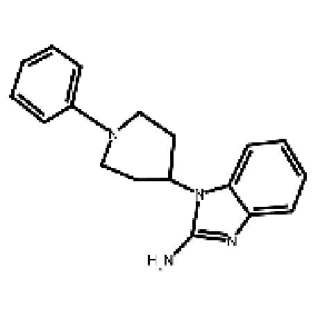 Nc1nc2ccccc2n1C1CCN(c2ccccc2)CC1